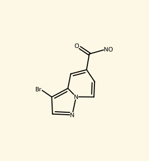 O=NC(=O)c1ccn2ncc(Br)c2c1